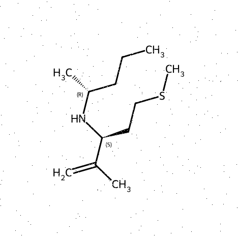 C=C(C)[C@H](CCSC)N[C@H](C)CCC